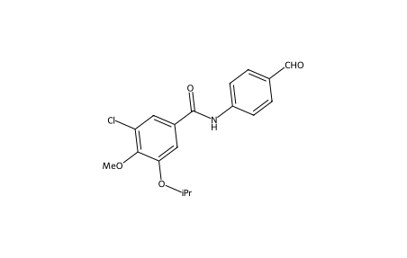 COc1c(Cl)cc(C(=O)Nc2ccc(C=O)cc2)cc1OC(C)C